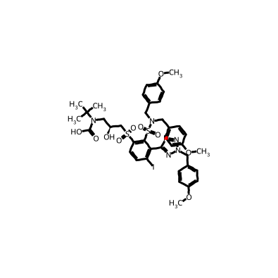 COc1ccc(CN(Cc2ccc(OC)cc2)S(=O)(=O)c2c(S(=O)(=O)C[C@@H](O)CN(C(=O)O)C(C)(C)C)ccc(I)c2-c2nnn(Cc3ccc(OC)cc3)n2)cc1